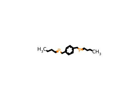 CCCC=PCc1ccc(CP=CCCC)cc1